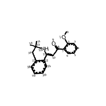 COc1ccccc1C(=O)/C=C1\NC(C)(C)Cc2ccccc21